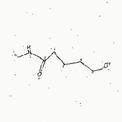 CNC(=O)CCCCCl